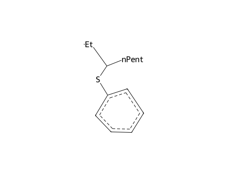 C[CH]C(CCCCC)Sc1ccccc1